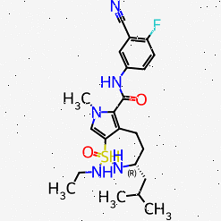 CCN[SH]1(=O)N[C@@H](CC(C)C)CCc2c1cn(C)c2C(=O)Nc1ccc(F)c(C#N)c1